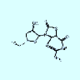 NC1=NC2C(SC(=O)N2C2O[C@H](CO)C[C@H]2O)C(=O)N1